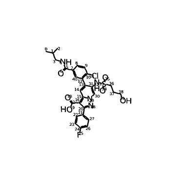 CC(C)CNC(=O)c1ccc(Cl)c(-c2cc3c(C(=O)O)c(-c4ccc(F)cc4)nn3cc2NS(=O)(=O)CCCO)c1